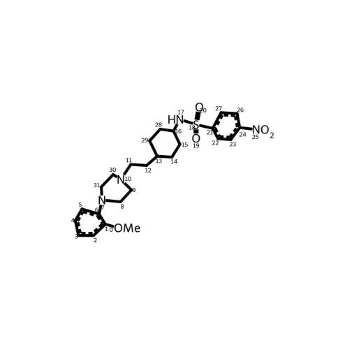 COc1ccccc1N1CCN(CCC2CCC(NS(=O)(=O)c3ccc([N+](=O)[O-])cc3)CC2)CC1